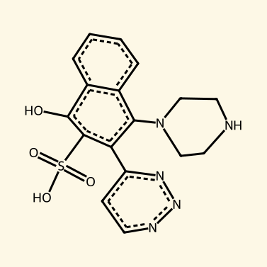 O=S(=O)(O)c1c(-c2ccnnn2)c(N2CCNCC2)c2ccccc2c1O